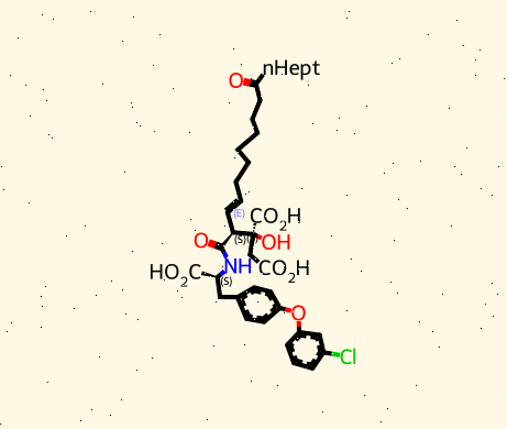 CCCCCCCC(=O)CCCCCC/C=C/[C@H](C(=O)N[C@@H](Cc1ccc(Oc2cccc(Cl)c2)cc1)C(=O)O)[C@@](O)(CC(=O)O)C(=O)O